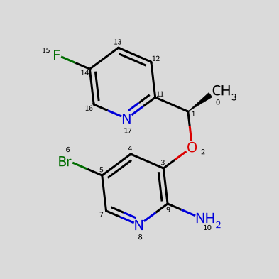 C[C@@H](Oc1cc(Br)cnc1N)c1ccc(F)cn1